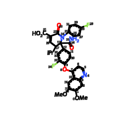 COc1cc2nccc(Oc3ccc(C4(C(N)=O)C(C(C)C)C=C(C(=O)O)C(=O)N4c4ccc(F)cc4)cc3F)c2cc1OC